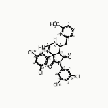 Cc1cccc(CC2NC3=NC4(C(=O)N(c5cc(Cl)cc(Cl)c5)C(=O)C24)c2cc(Cl)cc(Cl)c2N3)n1